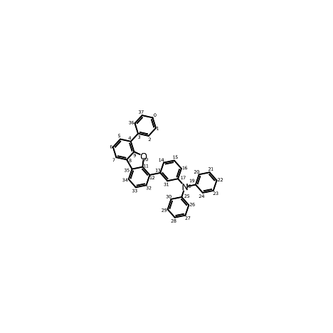 c1ccc(-c2cccc3c2oc2c(-c4cccc(N(c5ccccc5)c5ccccc5)c4)cccc23)cc1